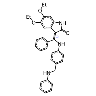 CCOc1cc2c(cc1OCC)/C(=C(/Nc1ccc(CNc3ccccc3)cc1)c1ccccc1)C(=O)N2